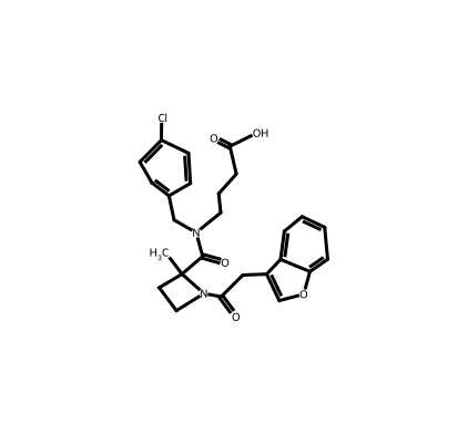 CC1(C(=O)N(CCCC(=O)O)Cc2ccc(Cl)cc2)CCN1C(=O)Cc1coc2ccccc12